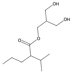 CCCC(C(=O)OCC(CO)CO)C(C)C